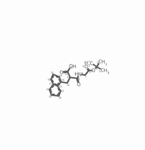 CC(C)(C)OC(=O)CNC(=O)C(Cc1cccc2ccccc12)C(=O)O